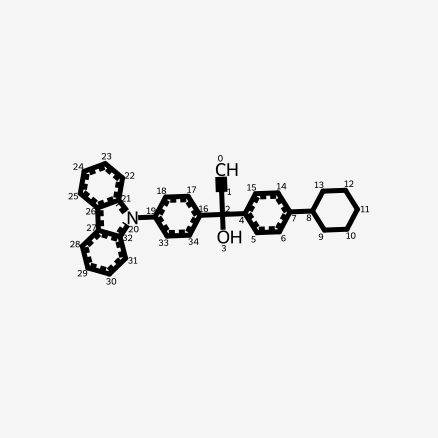 C#CC(O)(c1ccc(C2CCCCC2)cc1)c1ccc(-n2c3ccccc3c3ccccc32)cc1